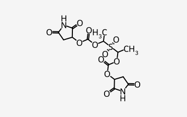 CC(OC(=O)OC1CC(=O)NC1=O)S(=O)(=O)C(C)OC(=O)OC1CC(=O)NC1=O